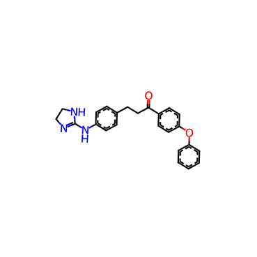 O=C(CCc1ccc(NC2=NCCN2)cc1)c1ccc(Oc2ccccc2)cc1